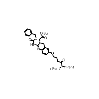 CCCCCN(CCCCC)C(=O)CCCOc1ccc2c(c1)CN(CC(=O)OCC(C)C)C(NC(=O)OCc1ccccc1)=N2